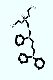 CCOP(=O)(CCCP(CCCP(c1ccccc1)c1ccccc1)c1ccccc1)OCC